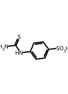 NC(=S)Nc1ccc(S(=O)(=O)O)cc1